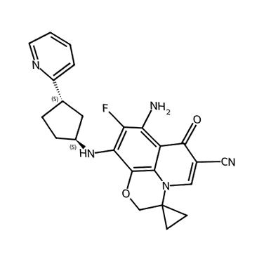 N#Cc1cn2c3c(c(N[C@H]4CC[C@H](c5ccccn5)C4)c(F)c(N)c3c1=O)OCC21CC1